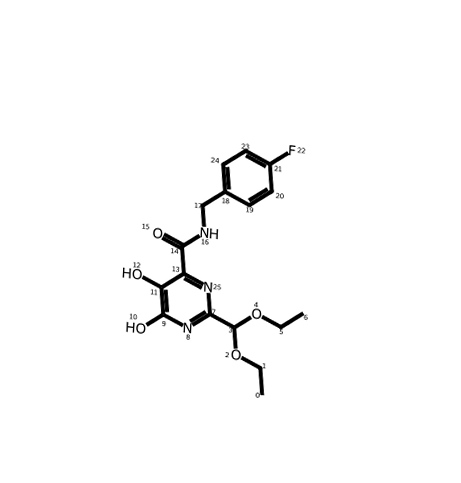 CCOC(OCC)c1nc(O)c(O)c(C(=O)NCc2ccc(F)cc2)n1